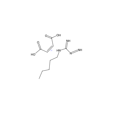 CCCCCNC(=N)N=N.O=C(O)/C=C\C(=O)O